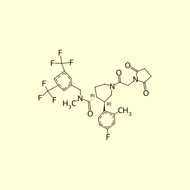 Cc1cc(F)ccc1[C@@H]1CN(C(=O)CN2C(=O)CCC2=O)CC[C@H]1C(=O)N(C)Cc1cc(C(F)(F)F)cc(C(F)(F)F)c1